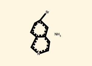 Brc1ccc2cnccc2c1.N